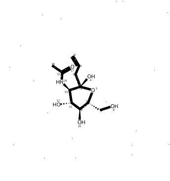 C=CC[C@]1(O)O[C@H](CO)[C@@H](O)[C@H](O)[C@H]1NC(C)=O